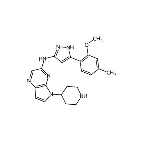 COc1cc(C)ccc1-c1cc(Nc2cnc3ccn(C4CCNCC4)c3n2)n[nH]1